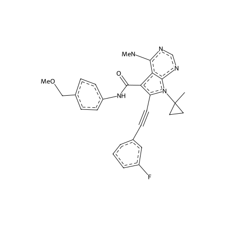 CNc1ncnc2c1c(C(=O)Nc1ccc(COC)cc1)c(C#Cc1cccc(F)c1)n2C1(C)CC1